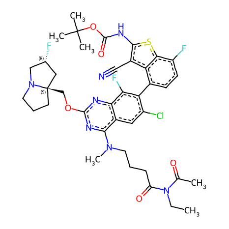 CCN(C(C)=O)C(=O)CCCN(C)c1nc(OC[C@@]23CCCN2C[C@H](F)C3)nc2c(F)c(-c3ccc(F)c4sc(NC(=O)OC(C)(C)C)c(C#N)c34)c(Cl)cc12